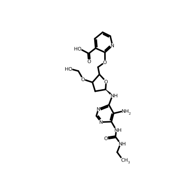 CCNC(=O)Nc1ncnc(N[C@H]2CC(OCO)C(COc3ncccc3C(=O)O)O2)c1N